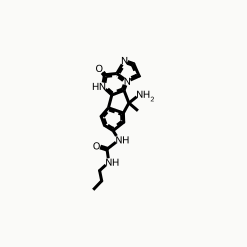 CCCNC(=O)Nc1ccc2c(c1)C(C)(N)c1c-2[nH]c(=O)c2nccn12